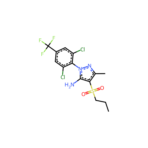 CCCS(=O)(=O)c1c(C)nn(-c2c(Cl)cc(C(F)(F)F)cc2Cl)c1N